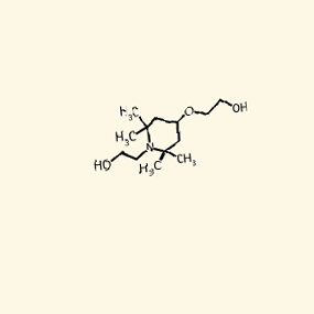 CC1(C)CC(OCCO)CC(C)(C)N1CCO